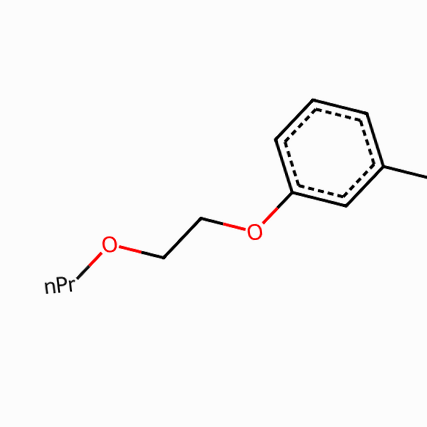 CCCOCCOc1cccc(C)c1